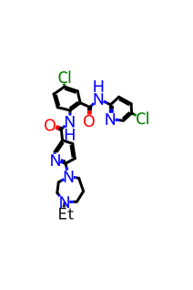 CCN1CCCN(c2ccc(C(=O)Nc3ccc(Cl)cc3C(=O)Nc3ccc(Cl)cn3)cn2)CC1